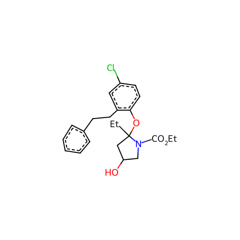 CCOC(=O)N1CC(O)CC1(CC)Oc1ccc(Cl)cc1CCc1ccccc1